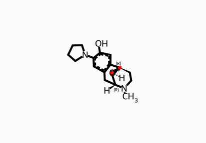 CN1CC[C@]23CCCC[C@@H]2[C@H]1Cc1cc(N2CCCC2)c(O)cc13